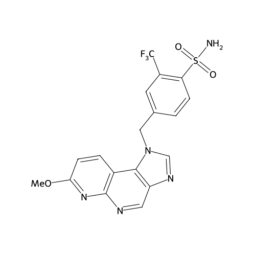 COc1ccc2c(ncc3ncn(Cc4ccc(S(N)(=O)=O)c(C(F)(F)F)c4)c32)n1